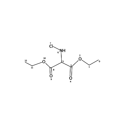 CCOC(=O)C(NCl)C(=O)OCC